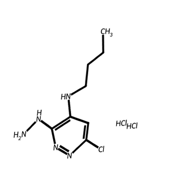 CCCCNc1cc(Cl)nnc1NN.Cl.Cl